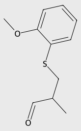 COc1ccccc1SCC(C)C=O